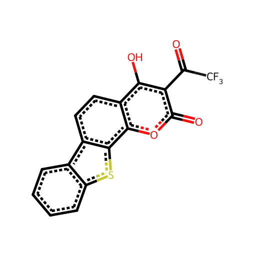 O=C(c1c(O)c2ccc3c4ccccc4sc3c2oc1=O)C(F)(F)F